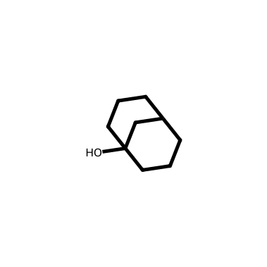 OC12CCCC(CCC1)C2